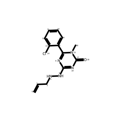 C=CCNNc1nc(-c2ccccc2Cl)n(C)c(=O)n1